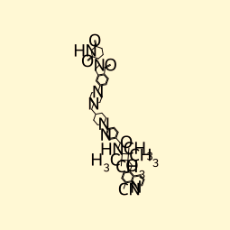 CC1(C)C(NC(=O)c2ccc(N3CCC(CN4CCN(c5ccc6c(c5)CN([C@H]5CCC(=O)NC5=O)C6=O)CC4)CC3)nc2)C(C)(C)C1Oc1ccc(C#N)c2ncccc12